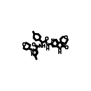 Cc1cc(C(=O)N[C@H](C(=O)Nc2cc3c(cn2)C2(CCOCC2)C(=O)N3)C2CCC(C)CC2)n(C2CCOCC2)n1